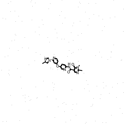 Cc1ncc(C(=O)Nc2ccc(Oc3ccnc([N+]4=CC(C)N=C4)c3)cn2)c(=O)n1C